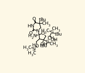 C[SiH](C)OCC1[C@](N)(N2CC(C)(C(C)(C)C)C(=O)NC2=O)O[C@H](C(O)[Si](C)(C)C(C)(C)C)[C@]1(O)[Si](C)(C)C(C)(C)C